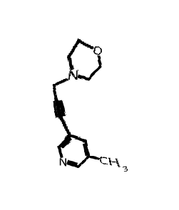 Cc1cncc(C#CCN2CCOCC2)c1